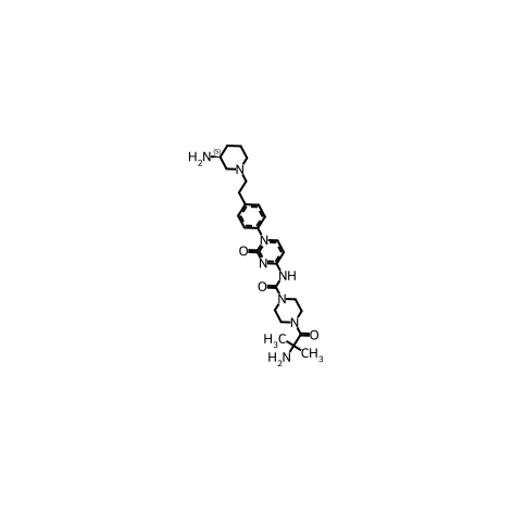 CC(C)(N)C(=O)N1CCN(C(=O)Nc2ccn(-c3ccc(CCN4CCC[C@H](N)C4)cc3)c(=O)n2)CC1